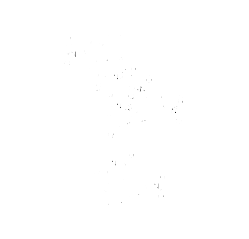 O=C1c2cccc3cc([N+](=O)[O-])cc(c23)C(=O)N1CCOCCN(CCN1C(=O)c2cccc3cc([N+](=O)[O-])cc(c23)C1=O)S(=O)(=O)c1ccc([N+](=O)[O-])cc1[N+](=O)[O-]